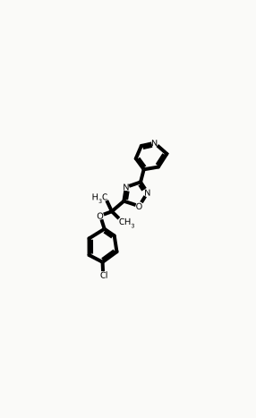 CC(C)(Oc1ccc(Cl)cc1)c1nc(-c2ccncc2)no1